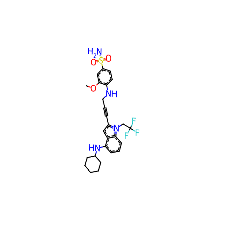 COc1cc(S(N)(=O)=O)ccc1NCC#Cc1cc2c(NC3CCCCC3)cccc2n1CC(F)(F)F